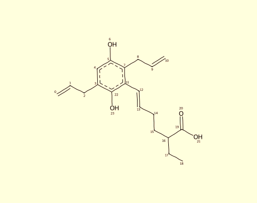 C=CCc1cc(O)c(CC=C)c(C=CCCC(CC)C(=O)O)c1O